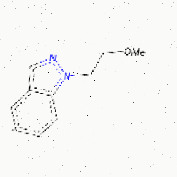 COCCn1ncc2c[c]ccc21